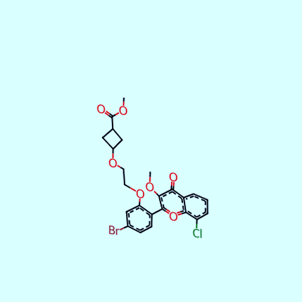 COC(=O)C1CC(OCCOc2cc(Br)ccc2-c2oc3c(Cl)cccc3c(=O)c2OC)C1